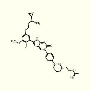 CC(=N)NCC[C@@H]1CCC[C@@H](c2ccc(-n3cc4cc(-c5cc(CCCC(N)C6CC6)cc(OC(F)(F)F)c5F)[nH]c4nc3=O)cc2)N1